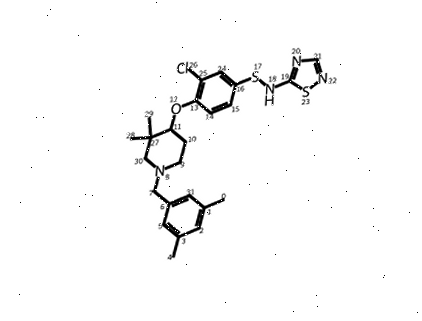 Cc1cc(C)cc(CN2CCC(Oc3ccc(SNc4ncns4)cc3Cl)C(C)(C)C2)c1